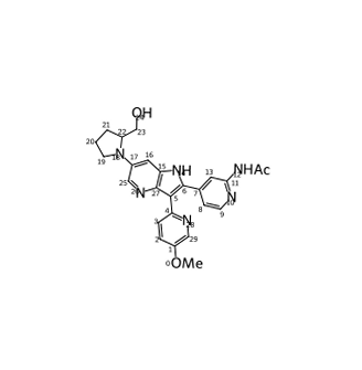 COc1ccc(-c2c(-c3ccnc(NC(C)=O)c3)[nH]c3cc(N4CCCC4CO)cnc23)nc1